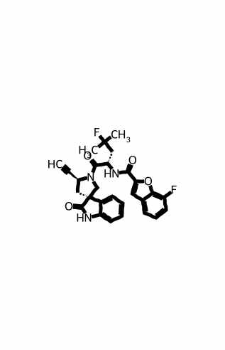 C#C[C@@H]1C[C@@]2(CN1C(=O)[C@H](CC(C)(C)F)NC(=O)c1cc3cccc(F)c3o1)C(=O)Nc1ccccc12